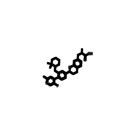 Cc1cc(-c2ccc(C3CCc4ccc(CC(C)C(=O)O)cc4O3)cc2CN2CCCCC2(C)C)c(F)cn1